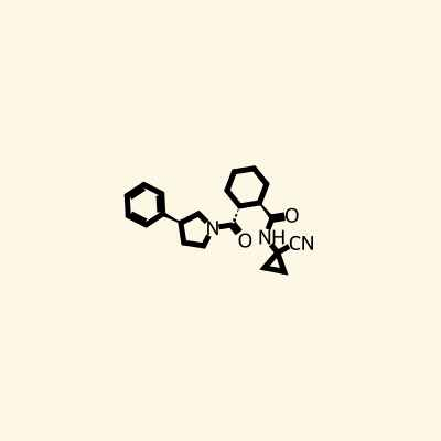 N#CC1(NC(=O)[C@@H]2CCCC[C@H]2C(=O)N2CC[C@@H](c3ccccc3)C2)CC1